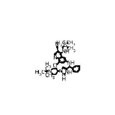 CC(C)(C)N1CCC(N2C=C([C@@H](Nc3cc(Cl)c4ncc(C#N)c(NCS(C)(C)C)c4c3)c3ccccc3)NN2)CC1